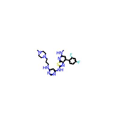 CNc1cc(-c2ccc(F)cc2F)c2nc(Nc3cc(NCCCN4CCN(C)CC4)ncn3)sc2n1